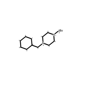 CC(C)(C)N1CCN(CC2CCCCC2)CC1